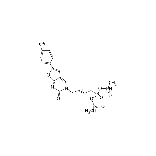 CCCc1ccc(-c2cc3cn(C/C=C/CP(=O)(O[PH](C)=O)O[PH](C)=O)c(=O)nc3o2)cc1